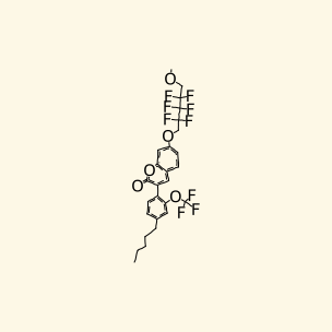 CCCCCc1ccc(-c2cc3ccc(OCC(F)(F)C(F)(F)C(F)(F)COC)cc3oc2=O)c(OC(F)(F)F)c1